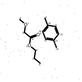 CCCOC(=O)COC.Cc1ccc(C)cc1